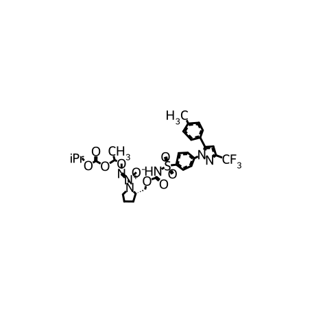 Cc1ccc(-c2cc(C(F)(F)F)nn2-c2ccc(S(=O)(=O)NC(=O)OC[C@@H]3CCCN3/[N+]([O-])=N/OC(C)OC(=O)OC(C)C)cc2)cc1